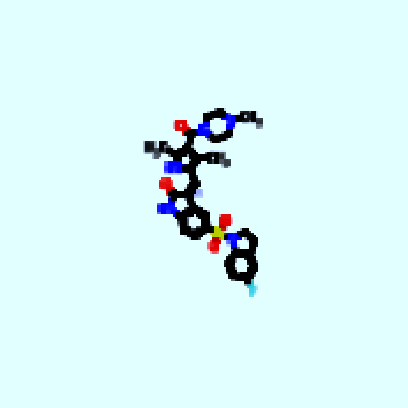 Cc1[nH]c(/C=C2\C(=O)Nc3ccc(S(=O)(=O)N4CCc5cc(F)ccc54)cc32)c(C)c1C(=O)N1CCN(C)CC1